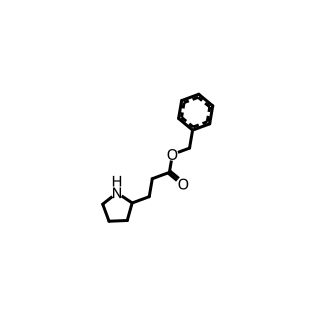 O=C(CCC1CCCN1)OCc1ccccc1